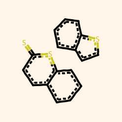 S=c1ccc2ccccc2s1.c1ccc2sccc2c1